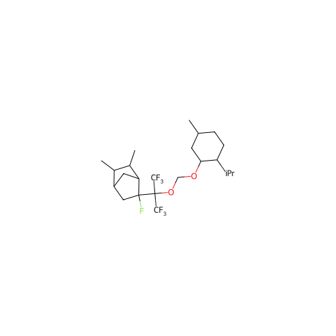 CC1CCC(C(C)C)C(OCOC(C(F)(F)F)(C(F)(F)F)C2(F)CC3CC2C(C)C3C)C1